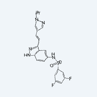 CC(C)n1cc(C=Cc2n[nH]c3ccc(NS(=O)(=O)c4cc(F)cc(F)c4)cc23)cn1